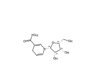 CCCCCCCCC(=O)C1=CN([C@@H]2O[C@H](CO)[C@H](O)[C@@H]2O)C=CC1